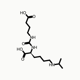 CC(C)NCCCC[C@H](NC(=O)NCCCC(=O)O)C(=O)O